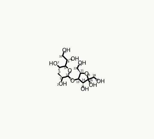 C[C@H](O)[C@@H](OC(CO)[C@@H](O)CO)OC1[C@@H](O)C(O)(CO)O[C@@H]1CO